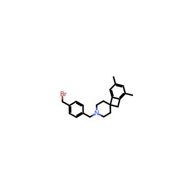 Cc1cc(C)c2c(c1)C1(CCN(Cc3ccc(CBr)cc3)CC1)C2